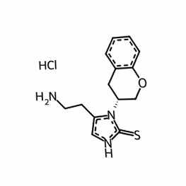 Cl.NCCc1c[nH]c(=S)n1[C@H]1COc2ccccc2C1